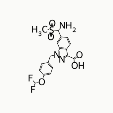 CS(=O)(=O)C(N)c1ccc2c(C(=O)O)nn(Cc3ccc(OC(F)F)cc3)c2c1